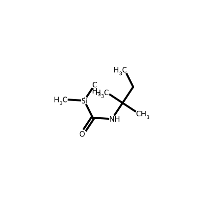 CCC(C)(C)NC(=O)[Si](C)C